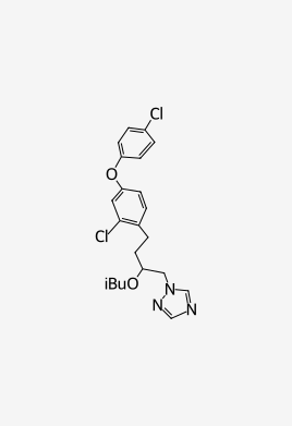 CC(C)COC(CCc1ccc(Oc2ccc(Cl)cc2)cc1Cl)Cn1cncn1